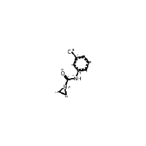 O=C(Nc1cccc(Cl)c1)N1CC1